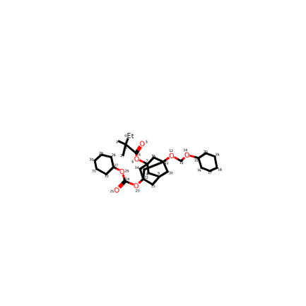 CCC(C)(C)C(=O)OC12CC3CC(OCOC4CCCCC4)(CC(OC(=O)OC4CCCCC4)(C3)C1)C2